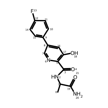 CC(NC(=O)c1ncc(-c2ccc(F)cc2)cc1O)C(N)=O